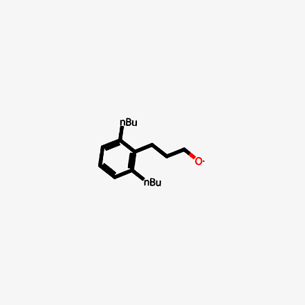 CCCCc1cccc(CCCC)c1CCC[O]